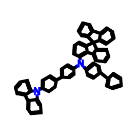 C1=C(c2ccc(N(c3ccc(-c4ccccc4)cc3)c3cccc4c3-c3ccccc3C43c4ccccc4-c4ccccc43)cc2)CCC(n2c3ccccc3c3ccccc32)=C1